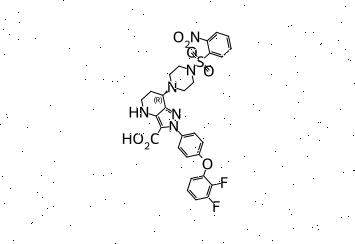 O=C(O)c1c2c(nn1-c1ccc(Oc3cccc(F)c3F)cc1)[C@H](N1CCN(S(=O)(=O)c3ccccc3[N+](=O)[O-])CC1)CCN2